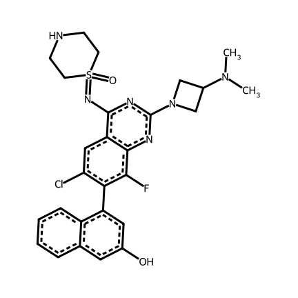 CN(C)C1CN(c2nc(N=S3(=O)CCNCC3)c3cc(Cl)c(-c4cc(O)cc5ccccc45)c(F)c3n2)C1